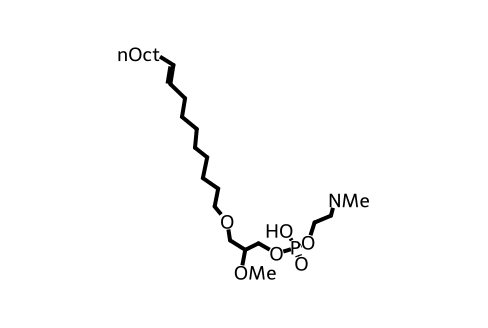 CCCCCCCC/C=C/CCCCCCCCOCC(COP(=O)(O)OCCNC)OC